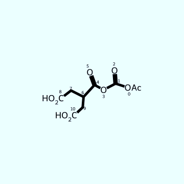 CC(=O)OC(=O)OC(=O)C(CC(=O)O)CC(=O)O